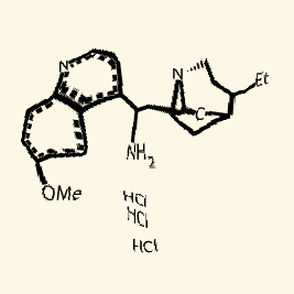 CCC1C[N@@]2CCC1CC2C(N)c1ccnc2ccc(OC)cc12.Cl.Cl.Cl